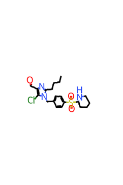 CCCCc1nc(C=O)c(Cl)n1Cc1ccc(S(=O)(=O)C2CCCCN2)cc1